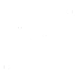 C=CCOC(=O)CCS